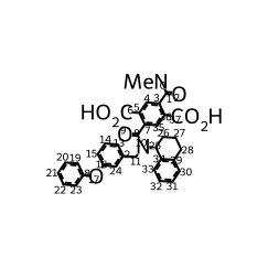 CNC(=O)c1cc(C(=O)O)c(C(=O)N(Cc2cccc(Oc3ccccc3)c2)[C@H]2CCCc3ccccc32)cc1C(=O)O